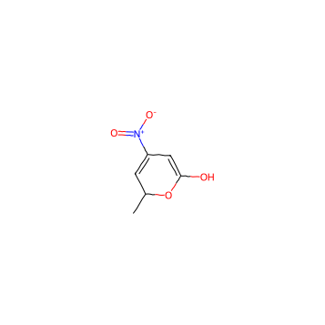 CC1C=C([N+](=O)[O-])C=C(O)O1